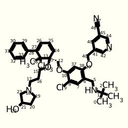 CC(C)(C)NCc1cc(Cl)c(OC[C@@]2(OCCCN3CCC(O)C3)C=CC=C(c3ccccc3)C2(C)C)cc1OCc1cncc(C#N)c1